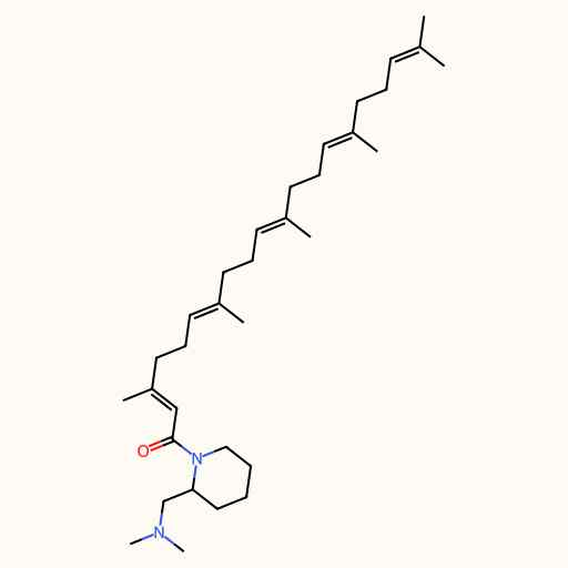 CC(C)=CCC/C(C)=C/CC/C(C)=C/CC/C(C)=C/CC/C(C)=C/C(=O)N1CCCCC1CN(C)C